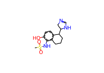 CS(=O)(=O)Nc1c(O)ccc2c1CCCC2C1CN=CN1